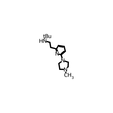 CN1CCN(c2cccc(CCNC(C)(C)C)n2)CC1